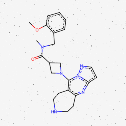 COc1ccccc1CN(C)C(=O)C1CN(c2c3c(nc4ccnn24)CCNCC3)C1